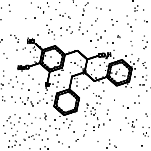 COc1c(O)cc(CC(C(=O)O)N(Cc2ccccc2)Cc2ccccc2)cc1Br